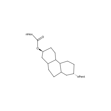 CCCCCCC(=O)O[C@H]1CCC2C(CCC3C[C@@H](CCCCC)CCC32)C1